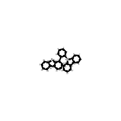 c1ccc(-n2c3ccccc3c3ccccc32)c(-c2cccc3c2sc2ccccc23)c1